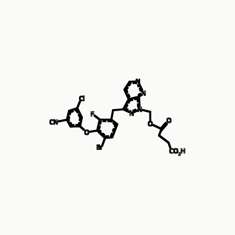 [C-]#[N+]c1cc(Cl)cc(Oc2c(Br)ccc(Cc3nn(COC(=O)CCC(=O)O)c4nnccc34)c2F)c1